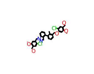 COc1cc(Cn2ncc3c(-c4cccc(COc5cc(OC)c(C=O)cc5Cl)c4C)cccc32)c(Cl)cc1C=O